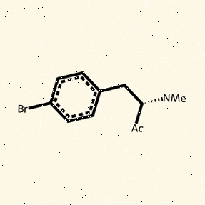 CN[C@@H](Cc1ccc(Br)cc1)C(C)=O